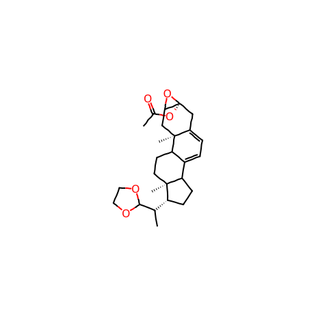 CC(=O)O[C@]12CC3=CC=C4C(CC[C@@]5(C)C4CC[C@@H]5C(C)C4OCCO4)[C@@]3(C)CC1O2